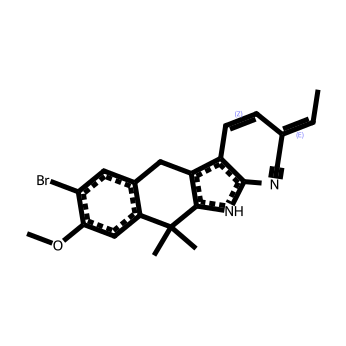 C/C=C(C#N)\C=C/c1c(C)[nH]c2c1Cc1cc(Br)c(OC)cc1C2(C)C